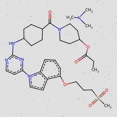 CCC(=O)OC1CCN(C(=O)C2CCC(Nc3nccc(-n4ccc5c(OCCCS(C)(=O)=O)cccc54)n3)CC2)CC1.CN(C)C